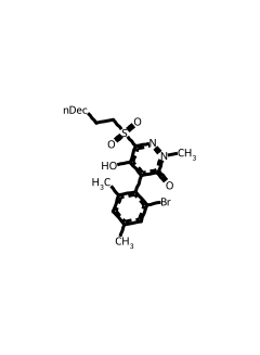 CCCCCCCCCCCCS(=O)(=O)c1nn(C)c(=O)c(-c2c(C)cc(C)cc2Br)c1O